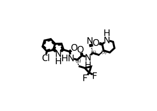 N#C[C@H](C[C@@H]1CCCNC1=O)NC(=O)[C@H](CC1CC1(F)F)NC(=O)c1cc2cccc(Cl)c2[nH]1